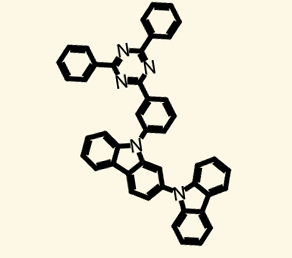 c1ccc(-c2nc(-c3ccccc3)nc(-c3cccc(-n4c5ccccc5c5ccc(-n6c7ccccc7c7ccccc76)cc54)c3)n2)cc1